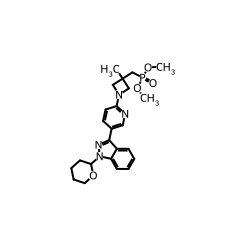 COP(=O)(CC1(C)CN(c2ccc(-c3nn(C4CCCCO4)c4ccccc34)cn2)C1)OC